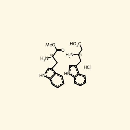 COC(=O)[C@H](N)Cc1c[nH]c2ccccc12.Cl.N[C@@H](CC(=O)O)Cc1c[nH]c2ccccc12